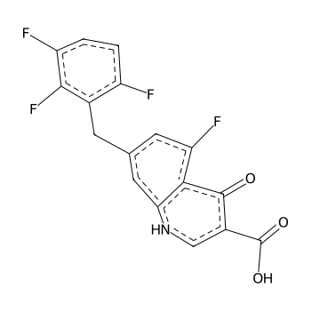 O=C(O)c1c[nH]c2cc(Cc3c(F)ccc(F)c3F)cc(F)c2c1=O